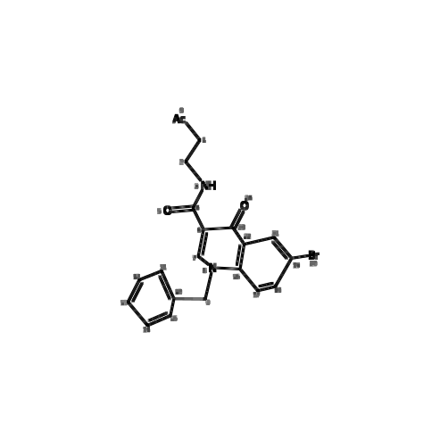 CC(=O)CCNC(=O)c1cn(Cc2ccccc2)c2ccc(Br)cc2c1=O